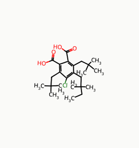 CCC(C)(C)Cc1c(Cl)c(CC(C)(C)C)c(C(=O)O)c(C(=O)O)c1CC(C)(C)C